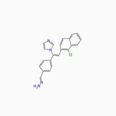 N/N=C/c1ccc(C(=Cc2ccc3ccccc3c2Cl)n2ccnc2)cc1